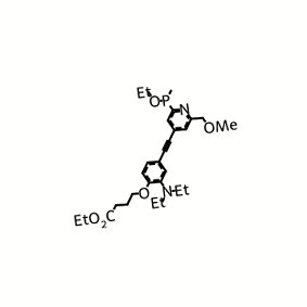 CCOC(=O)CCCOc1ccc(C#Cc2cc(COC)nc(P(C)OCC)c2)cc1N(CC)CC